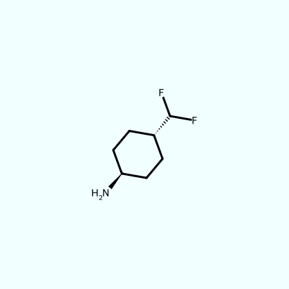 N[C@H]1CC[C@H](C(F)F)CC1